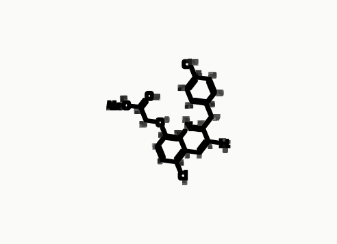 CCc1cc2c(Cl)ccc(OCC(=O)OC)c2nc1Cc1ccc(Cl)cc1